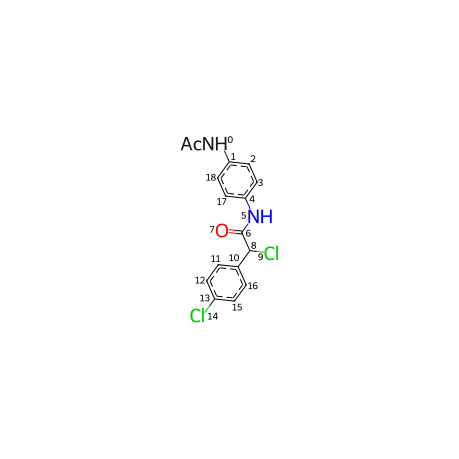 CC(=O)Nc1ccc(NC(=O)C(Cl)c2ccc(Cl)cc2)cc1